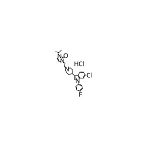 CC(C)n1ccn(CCN2CCC(c3cn(-c4ccc(F)cc4)c4cc(Cl)ccc34)CC2)c1=O.Cl